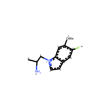 COc1cc2c(ccn2CC(C)N)cc1F